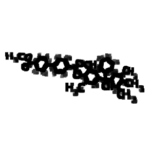 COC(=O)c1ccc(-c2ccc(C(=O)Oc3c(C)cc(C(C)(c4ccccc4)c4cc(C)c(C)c(C)c4)cc3C)cc2)cc1